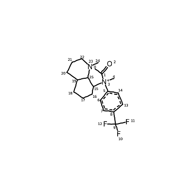 CC(=O)[N+](C)(c1ccc(C(F)(F)F)cc1)C1CCCC2CCCN(C)C21